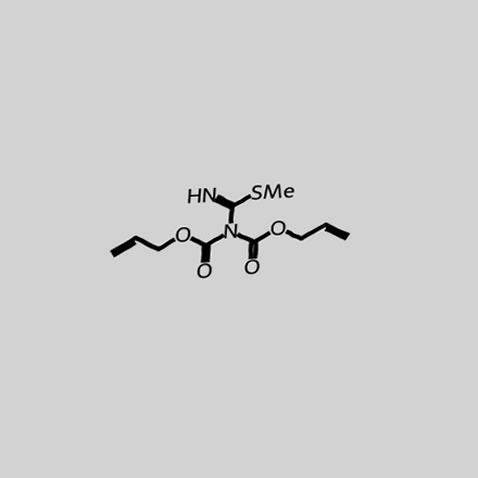 C=CCOC(=O)N(C(=N)SC)C(=O)OCC=C